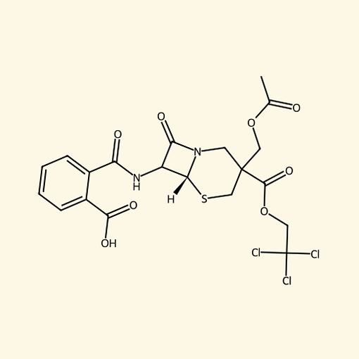 CC(=O)OCC1(C(=O)OCC(Cl)(Cl)Cl)CS[C@@H]2C(NC(=O)c3ccccc3C(=O)O)C(=O)N2C1